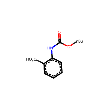 CCCCOC(=O)Nc1ccccc1C(=O)O